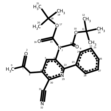 CC(=O)Cc1cc(N(C(=O)OC(C)(C)C)C(=O)OC(C)(C)C)c(-c2ccccc2)nc1C#N